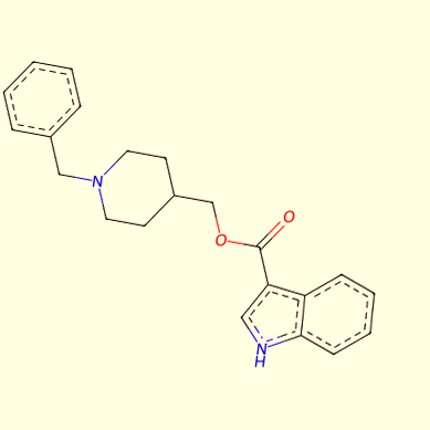 O=C(OCC1CCN(Cc2ccccc2)CC1)c1c[nH]c2ccccc12